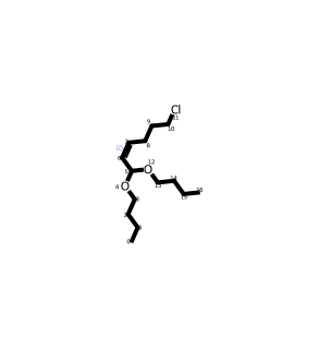 CCCCOC(/C=C\CCCCl)OCCCC